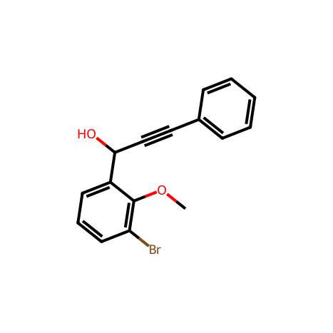 COc1c(Br)cccc1C(O)C#Cc1ccccc1